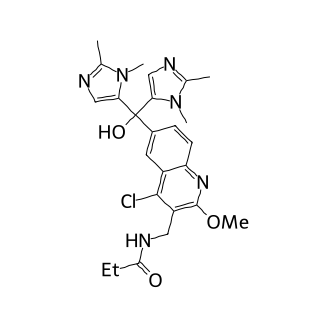 CCC(=O)NCc1c(OC)nc2ccc(C(O)(c3cnc(C)n3C)c3cnc(C)n3C)cc2c1Cl